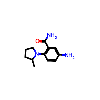 CC1CCCN1c1ccc(N)cc1C(N)=O